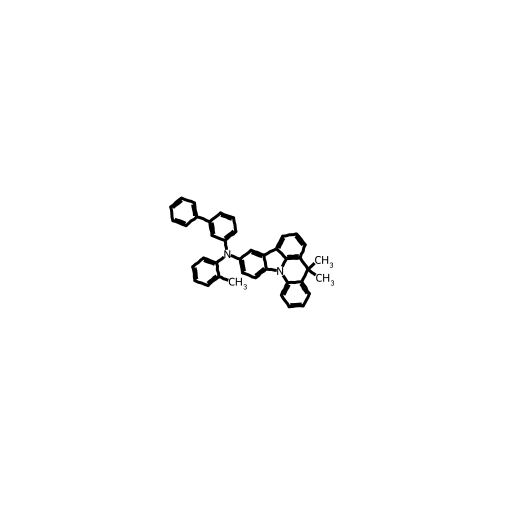 Cc1ccccc1N(c1cccc(-c2ccccc2)c1)c1ccc2c(c1)c1cccc3c1n2-c1ccccc1C3(C)C